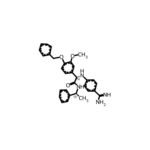 COc1cc([C@H](Nc2ccc(C(=N)N)cc2)C(=O)N[C@@H](C)c2ccccc2)ccc1OCc1ccccc1